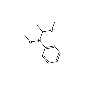 COC(C)N(OC)c1ccccc1